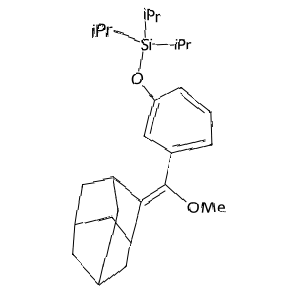 COC(=C1C2CC3CC(C2)CC1C3)c1cccc(O[Si](C(C)C)(C(C)C)C(C)C)c1